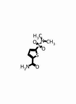 CN(C)S(=O)(=O)c1ccc(C(N)=O)s1